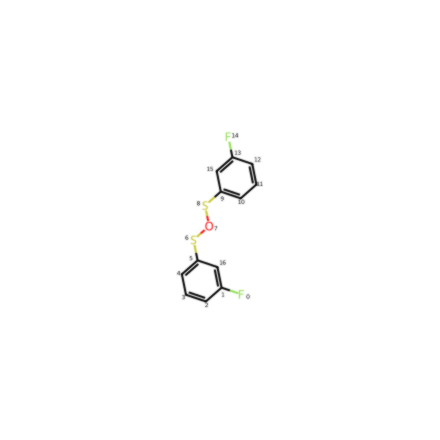 Fc1cccc(SOSc2cccc(F)c2)c1